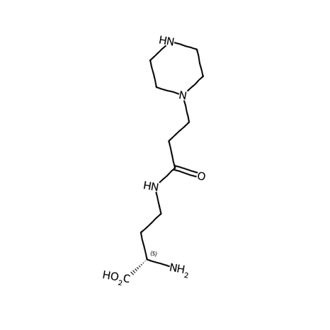 N[C@@H](CCNC(=O)CCN1CCNCC1)C(=O)O